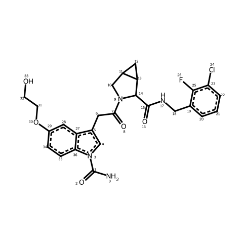 NC(=O)n1cc(CC(=O)N2CC3CC3C2C(=O)NCc2cccc(Cl)c2F)c2cc(OCCO)ccc21